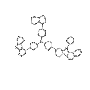 c1ccc(-n2c3cc(-c4ccc(N(c5ccc(-c6cccc7ccccc67)cc5)c5ccc(-c6cccc7sc8ccccc8c67)cc5)cc4)ccc3c3ccc4ccccc4c32)cc1